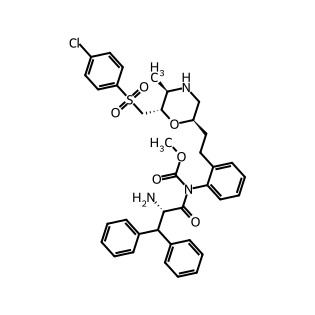 COC(=O)N(C(=O)[C@@H](N)C(c1ccccc1)c1ccccc1)c1ccccc1CC[C@@H]1CN[C@H](C)[C@@H](CS(=O)(=O)c2ccc(Cl)cc2)O1